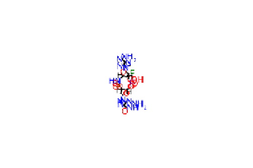 Nc1nc2c(nnn2[C@H]2C[C@@H]3OS(=O)(=O)NC[C@H]4O[C@@H](n5cnc6c(N)ncnc65)[C@H](F)[C@@H]4OP(=O)(O)OC[C@H]3O2)c(=O)[nH]1